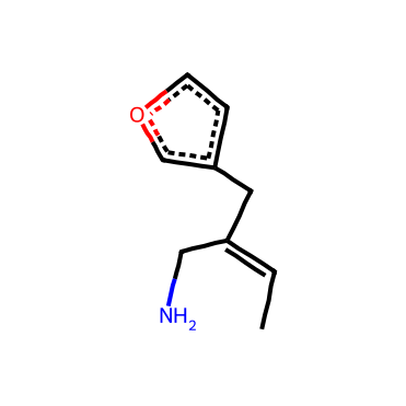 C/C=C(\CN)Cc1ccoc1